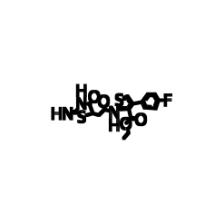 CCOC(=O)c1c(-c2ccc(F)cc2)csc1NC(=O)CC1SC(=N)NC1=O